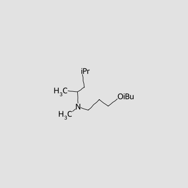 CC(C)COCCCN(C)C(C)CC(C)C